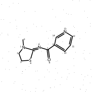 CN1CCSC1=NC(=O)c1cccnc1